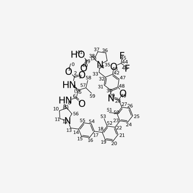 COC(=O)N[C@H](C(=O)N[C@H]1CCN(Cc2ccc(-c3cccc(-c4cccc(-c5nc6cc(CN7CCC[C@H]7C(=O)O)c(OC(F)F)cc6o5)c4C)c3C)cc2)C1)C(C)C